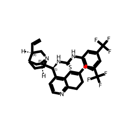 C=C[C@H]1CN2CCC1C[C@@H]2[C@@H](NC(=S)Nc1cc(C(F)(F)F)cc(C(F)(F)F)c1)c1ccnc2c1C=C(OC)CC2